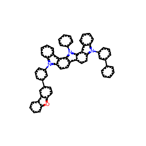 c1ccc(-c2cccc(-n3c4ccccc4c4c3ccc3c5ccc6c(c7ccccc7n6-c6cccc(-c7ccc8oc9ccccc9c8c7)c6)c5n(-c5ccccc5)c34)c2)cc1